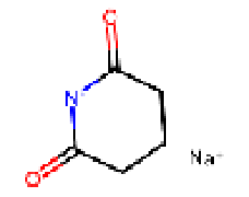 O=C1CCCC(=O)[N-]1.[Na+]